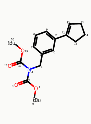 CC(C)(C)OC(=O)N(Cc1cccc(C2=CCCC2)c1)C(=O)OC(C)(C)C